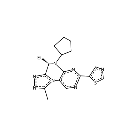 CC[C@@H]1c2nnc(C)n2-c2cnc(-c3cncs3)nc2N1C1CCCC1